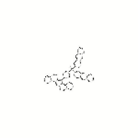 O=P(c1ccc(-c2c3ccc4ccccc4c3cc3ccc4ccccc4c23)cc1)(c1ccc2cc3ccccc3cc2c1)c1ccc2cc3ccccc3cc2c1